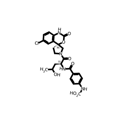 CC(O)C[C@H](NC(=O)c1ccc(NC(=O)O)cc1)C(=O)N1CC[C@@]2(C1)OC(=O)Nc1ccc(Cl)cc12